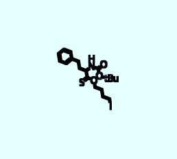 CC(C)(C)OC(=O)NC(CCc1ccccc1)C(=S)OCCCCI